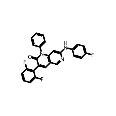 O=c1c(-c2c(F)cccc2F)cc2cnc(Nc3ccc(F)cc3)cc2n1-c1ccccc1